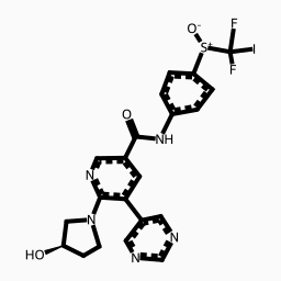 O=C(Nc1ccc([S+]([O-])C(F)(F)I)cc1)c1cnc(N2CC[C@@H](O)C2)c(-c2cncnc2)c1